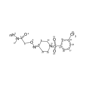 CCCN(C)C(=O)CON=C1CCN(S(=O)(=O)c2cccc(C(F)(F)F)c2)CC1